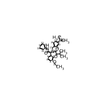 CCOc1cccc2c1OC(C(C)C)C(=O)N(Cc1ccc(N(C)C)cc1)C2C(=O)Nc1ccccc1